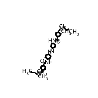 CCCC[N+](C)(C)Cc1ccc(C(=O)Nc2ccc(/N=N/c3ccc(NC(=O)c4ccc(C[N+](C)(C)CCCC)cc4)cc3)cc2)cc1